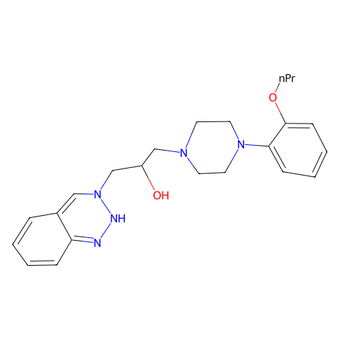 CCCOc1ccccc1N1CCN(CC(O)CN2C=c3ccccc3=NN2)CC1